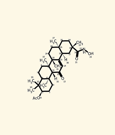 CC(=O)O[C@@H]1CC[C@@]2(C)C(CC[C@]3(C)[C@@H]2C(=O)C=C2[C@@H]4C[C@@](C)(C(=O)NO)CC[C@]4(C)CC[C@]23C)C1(C)C